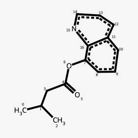 CC(C)CC(=O)Oc1cccc2cccnc12